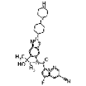 CC(C)(O)c1cc2nn(C3CCC(N4CCNCC4)CC3)cc2cc1NC(=O)c1cc(F)c2cc(C#N)cnn12